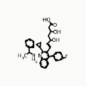 CC(N)c1ccccc1.O=C(O)CC(O)CC(O)C=Cc1c(C2CC2)nc2ccccc2c1-c1ccc(F)cc1